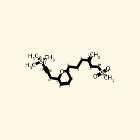 C=C(CCCC1CC=CC(CC#C[Si](C)(C)C)O1)CCS(C)(=O)=O